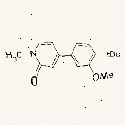 COc1cc(-c2ccn(C)c(=O)c2)ccc1C(C)(C)C